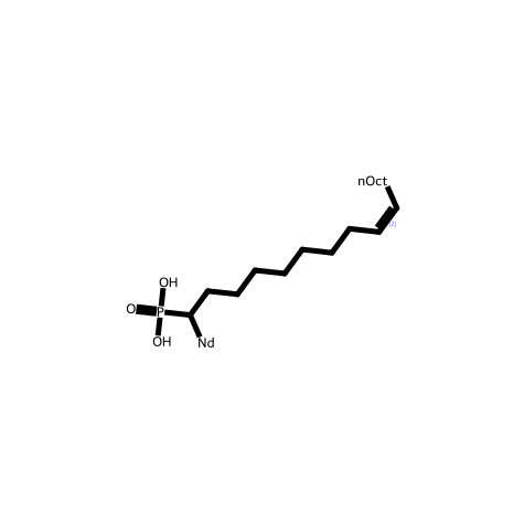 CCCCCCCC/C=C\CCCCCCC[CH]([Nd])P(=O)(O)O